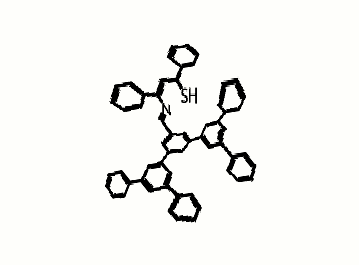 SC(/C=C(\N=C\c1cc(-c2cc(-c3ccccc3)cc(-c3ccccc3)c2)cc(-c2cc(-c3ccccc3)cc(-c3ccccc3)c2)c1)c1ccccc1)c1ccccc1